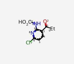 CCC(=O)c1ccc(Cl)nc1NC(=O)O